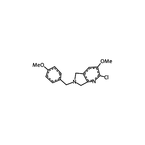 COc1ccc(CN2Cc3cc(OC)c(Cl)nc3C2)cc1